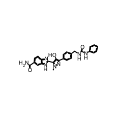 Cn1nc(-c2ccc(CNC(=O)Nc3ccccc3)cc2)c(O)c1-c1nc2ccc(C(N)=O)cc2[nH]1